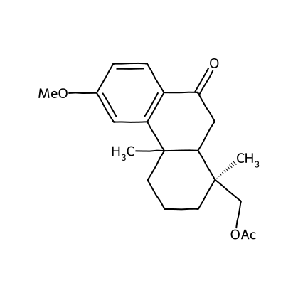 COc1ccc2c(c1)C1(C)CCC[C@](C)(COC(C)=O)C1CC2=O